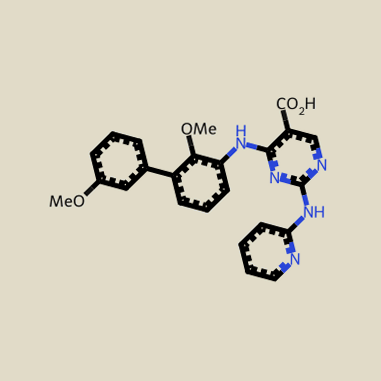 COc1cccc(-c2cccc(Nc3nc(Nc4ccccn4)ncc3C(=O)O)c2OC)c1